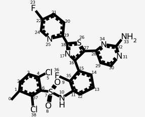 Cc1ccc(Cl)c(S(=O)(=O)Nc2cccc(-c3nc(-c4ccc(F)cn4)sc3-c3ccnc(N)n3)c2F)c1Cl